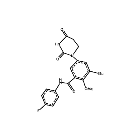 COc1c(C(=O)Nc2ccc(F)cc2)cc(N2CCC(=O)NC2=O)cc1C(C)(C)C